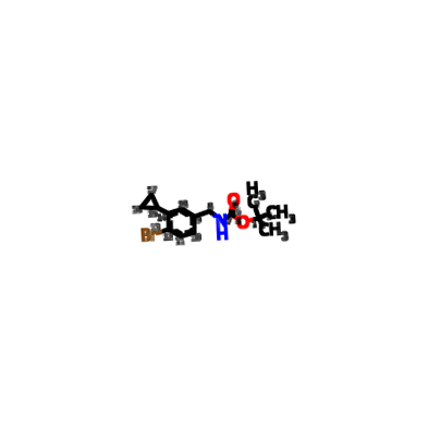 CC(C)(C)OC(=O)NCc1ccc(Br)c(C2CC2)c1